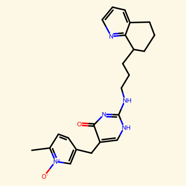 Cc1ccc(Cc2c[nH]c(NCCCC3CCCc4cccnc43)nc2=O)c[n+]1[O-]